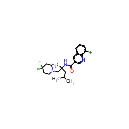 CC(C)CC(C)(CN1CCC(F)(F)CC1)NC(=O)c1cnc2c(F)cccc2c1